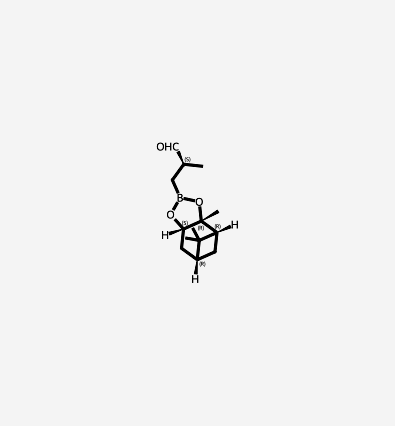 C[C@H](C=O)CB1O[C@H]2C[C@H]3C[C@H](C3(C)C)[C@@]2(C)O1